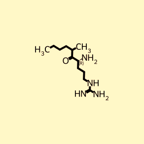 CCCCC(C)C(=O)[C@H](N)CCCNC(=N)N